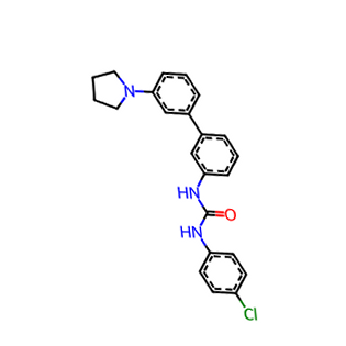 O=C(Nc1ccc(Cl)cc1)Nc1cccc(-c2cccc(N3CCCC3)c2)c1